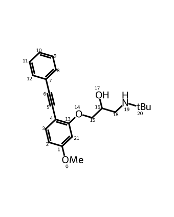 COc1ccc(C#Cc2ccccc2)c(OCC(O)CNC(C)(C)C)c1